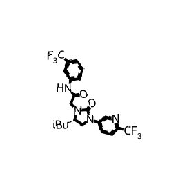 CCC(C)[C@H]1CN(c2ccc(C(F)(F)F)nc2)C(=O)N1CC(=O)Nc1cccc(C(F)(F)F)c1